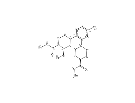 CC(C)(C)OC(=O)C1CCN(c2cc(C(F)(F)F)ccc2C2CCN(C(=O)OC(C)(C)C)[C@H](CO)C2)CC1